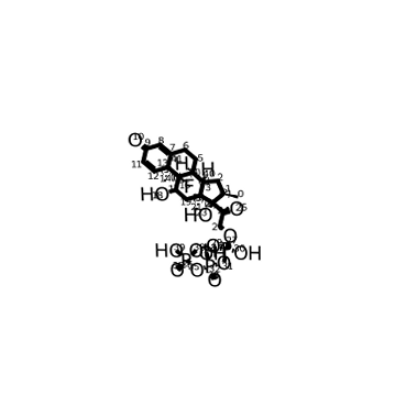 C[C@@H]1C[C@H]2[C@@H]3CCC4=CC(=O)C=C[C@]4(C)[C@@]3(F)C(O)C[C@]2(C)[C@@]1(O)C(=O)COP(=O)(O)OP(=O)(O)OP(=O)(O)O